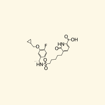 C[C@@H](NS(=O)(=O)CCCCCc1ccc(C(=O)O)[nH]c1=O)c1ccc(F)c(OCC2CC2)c1